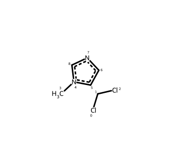 ClCCl.Cn1ccnc1